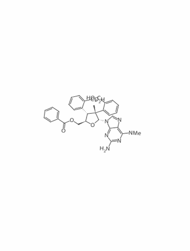 CNc1nc(N)nc2c1ncn2[C@@H]1O[C@@H](COC(=O)c2ccccc2)[C@H](c2ccccc2C(=O)O)[C@]1(C)c1ccccc1C(=O)O